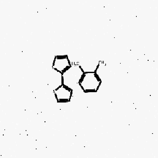 Cc1ccccc1C.c1csc(-c2cccs2)c1